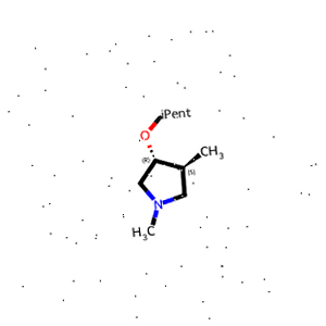 CCCC(C)O[C@H]1CN(C)C[C@@H]1C